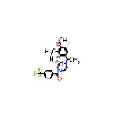 COc1ccc(C(C)N2CCN(C(=O)c3ccc(C(F)(F)F)cc3)CC2)c(C)c1C